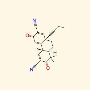 CCC#C[C@]12C=C(C#N)C(=O)C=C1[C@@]1(C)C=C(C#N)C(=O)C(C)(C)[C@@H]1CC2